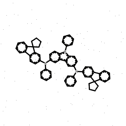 c1ccc(N(c2ccc3c(c2)C2(CCCC2)c2ccccc2-3)c2ccc3c(c2)c2cc(N(c4ccccc4)c4ccc5c(c4)C4(CCCC4)c4ccccc4-5)ccc2n3-c2ccccc2)cc1